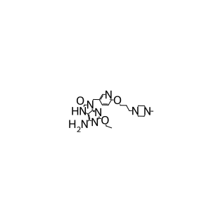 CCOc1nc(N)c2[nH]c(=O)n(Cc3ccc(OCCCN4CCN(C)CC4)nc3)c2n1